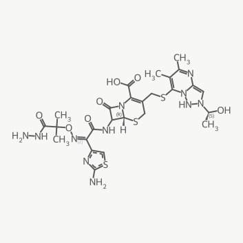 CC1=NC2=CN([C@H](C)O)NN2C(SCC2=C(C(=O)O)N3C(=O)C(NC(=O)/C(=N\OC(C)(C)C(=O)NN)c4csc(N)n4)[C@H]3SC2)=C1C